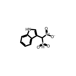 O=[N+]([O-])C(c1c[nH]c2ccccc12)[SH](=O)=O